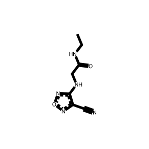 CCNC(=O)CNc1nonc1C#N